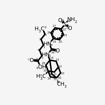 CCCCCCC(=O)O.C[C@]12CC3CC(NC(=O)Nc4ccc(S(N)(=O)=O)cc4)(C1)C[C@@](C)(C3)C2